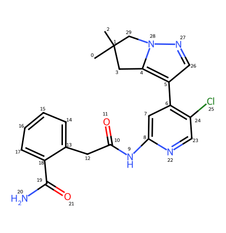 CC1(C)Cc2c(-c3cc(NC(=O)Cc4ccccc4C(N)=O)ncc3Cl)cnn2C1